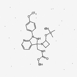 CC(C)(C)OC(=O)NCC1(N2CCC2O[Si](C)(C)C(C)(C)C)NN(c2ccc(OC(F)(F)F)cc2)c2ncccc21